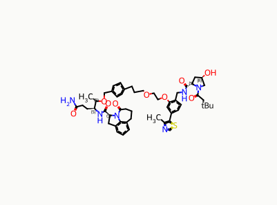 Cc1ncsc1-c1ccc(CNC(=O)[C@@H]2C[C@@H](O)CN2C(=O)CC(C)(C)C)c(OCCOCCCc2ccc(CO[C@H](C)[C@H](CCC(N)=O)NC(=O)[C@@H]3Cc4cccc5c4N3C(=O)CCC5)cc2)c1